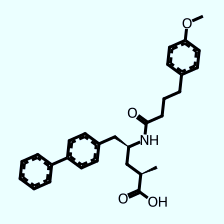 COc1ccc(CCCC(=O)N[C@H](Cc2ccc(-c3ccccc3)cc2)C[C@@H](C)C(=O)O)cc1